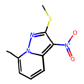 CSc1nn2c(C)cccc2c1[N+](=O)[O-]